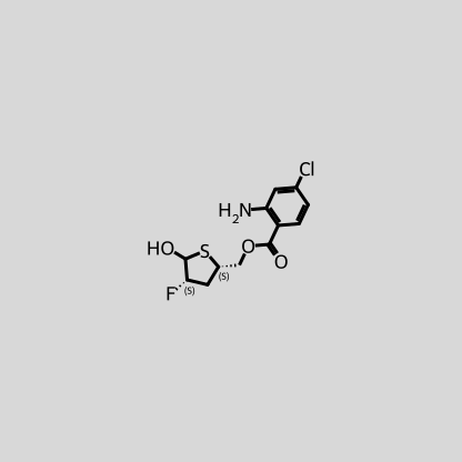 Nc1cc(Cl)ccc1C(=O)OC[C@@H]1C[C@H](F)C(O)S1